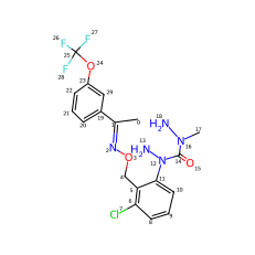 CC(=NOCc1c(Cl)cccc1N(N)C(=O)N(C)N)c1cccc(OC(F)(F)F)c1